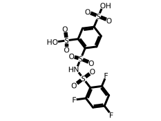 O=S(=O)(O)c1ccc(S(=O)(=O)NS(=O)(=O)c2c(F)cc(F)cc2F)c(S(=O)(=O)O)c1